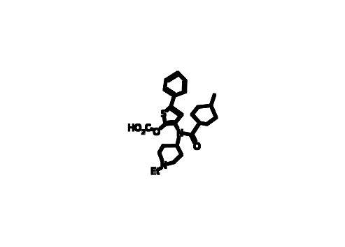 CCN1CCC(N(C(=O)C2CCC(C)CC2)c2cc(-c3ccccc3)sc2OC(=O)O)CC1